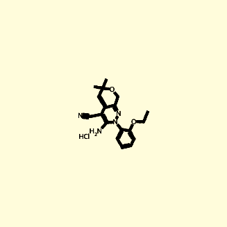 CCOc1ccccc1N1N=C2COC(C)(C)C=C2C(C#N)=C1N.Cl